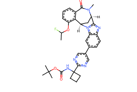 CC(F)Oc1cccc2c1[C@H]1C[C@H](c3nc4ccc(-c5cnc(C6(NC(=O)OC(C)(C)C)CCC6)nc5)cc4n31)N(C)C2=O